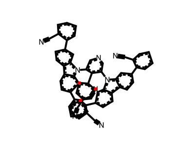 N#Cc1ccc(-c2c(-n3c4cc(-c5ccccc5C#N)ccc4c4ccc(-c5ccccc5C#N)cc43)cncc2-n2c3cc(-c4ccccc4C#N)ccc3c3ccc(-c4ccccc4C#N)cc32)cc1